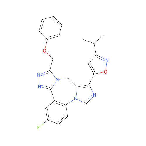 CC(C)c1cc(-c2ncn3c2Cn2c(COc4ccccc4)nnc2-c2cc(F)ccc2-3)on1